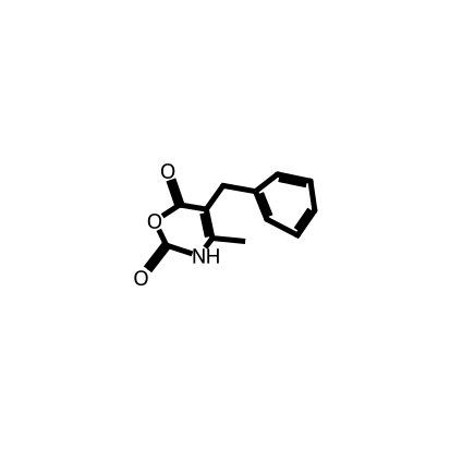 Cc1[nH]c(=O)oc(=O)c1Cc1ccccc1